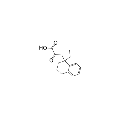 CCC1(CC(=O)C(=O)O)CCCc2ccccc21